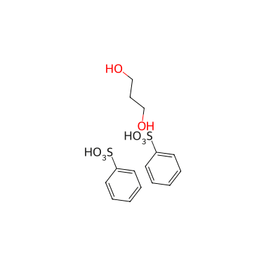 O=S(=O)(O)c1ccccc1.O=S(=O)(O)c1ccccc1.OCCCO